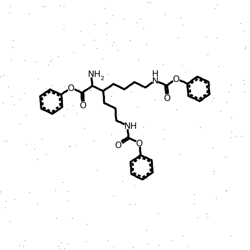 NC(C(=O)Oc1ccccc1)C(CCCCNC(=O)Oc1ccccc1)CCCNC(=O)Oc1ccccc1